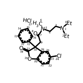 CCN(CC)CCN(C)C(=O)CC1(c2ccccc2)C(=O)Oc2ccc(Cl)cc21.Cl